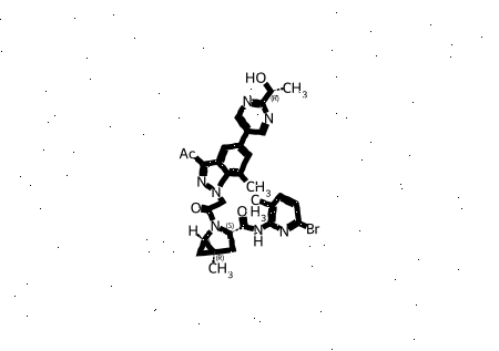 CC(=O)c1nn(CC(=O)N2[C@H](C(=O)Nc3nc(Br)ccc3C)C[C@@]3(C)C[C@@H]23)c2c(C)cc(-c3cnc([C@@H](C)O)nc3)cc12